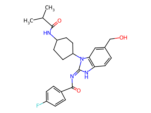 CC(C)C(=O)NC1CCC(n2c(=NC(=O)c3ccc(F)cc3)[nH]c3ccc(CO)cc32)CC1